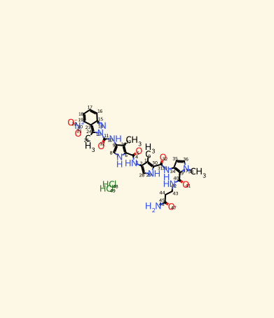 Cc1c(NC(=O)c2[nH]cc(NC(=O)n3nc4cccc([N+](=O)[O-])c4c3C)c2C)c[nH]c1C(=O)Nc1ccn(C)c1C(=O)NCCC(N)=O.Cl.Cl